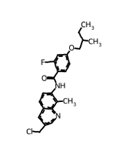 CCC(C)COc1ccc(C(=O)Nc2ccc3cc(CCl)cnc3c2C)c(F)c1